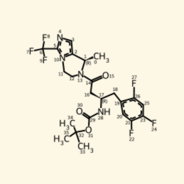 C[C@@H]1c2cnc(C(F)(F)F)n2CCN1C(=O)C[C@@H](Cc1cc(F)c(F)cc1F)NC(=O)OC(C)(C)C